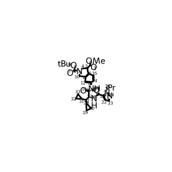 COC(=O)C1CN(C(=O)OC(C)(C)C)Cc2cc(NC(=O)[C@@H](NC(=O)c3ccnn3C(C)C)C(C3CC3)C3CC3)ccc21